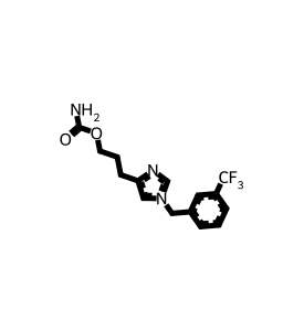 NC(=O)OCCCc1cn(Cc2cccc(C(F)(F)F)c2)cn1